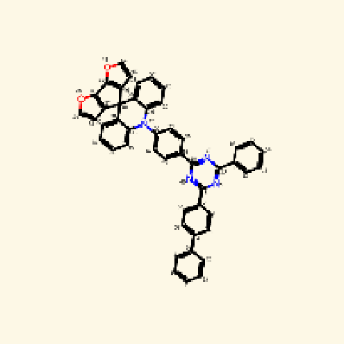 c1ccc(-c2ccc(-c3nc(-c4ccccc4)nc(-c4ccc(N5c6ccccc6C6(c7ccccc75)c5ccoc5-c5occc56)cc4)n3)cc2)cc1